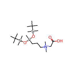 CC(C)(C)[Si](C)(C)O[Si](C)(CCC[N+](C)(C)CC(=O)O)O[Si](C)(C)C(C)(C)C